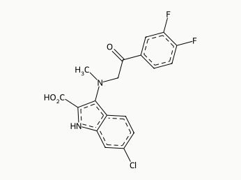 CN(CC(=O)c1ccc(F)c(F)c1)c1c(C(=O)O)[nH]c2cc(Cl)ccc12